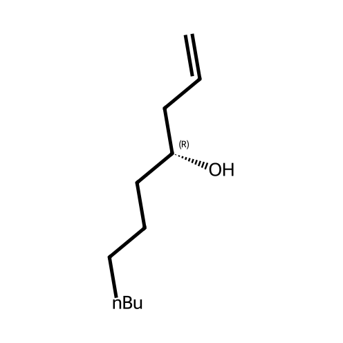 C=CC[C@H](O)CCCCCCC